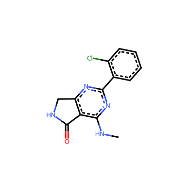 CNc1nc(-c2ccccc2Cl)nc2c1C(=O)NC2